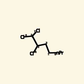 CCCCCC(Cl)[C](Cl)Cl